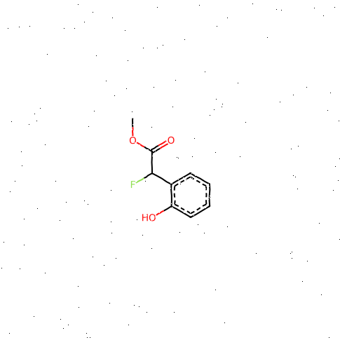 COC(=O)C(F)c1ccccc1O